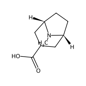 CN1[C@@H]2CC[C@H]1CC(C(=O)O)C2